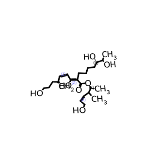 C=C(/C=C\C(O)=C(/CCCC[C@H](O)C(C)O)C(=O)O[C@@H](C)C(C)/C=C\CO)CCCO